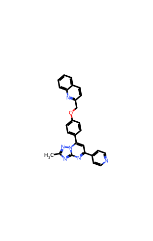 Cc1nc2nc(-c3ccncc3)cc(-c3ccc(OCc4ccc5ccccc5n4)cc3)n2n1